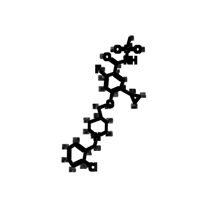 CS(=O)(=O)NC(=O)c1cc(C2CC2)c(OCC2CCN(Cc3ccccc3Cl)CC2)cc1F